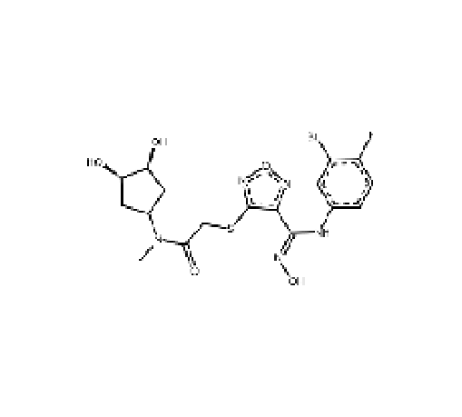 CN(C(=O)CSc1nonc1/C(=N/O)Nc1ccc(F)c(Br)c1)C1C[C@@H](O)[C@@H](O)C1